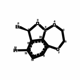 CC[C@H]1OB2OCCOc3ccc(C(C)C)c1c32